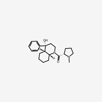 CN1CCC[C@H]1C(=O)N1CC[C@](O)(c2ccccc2)[C@H]2CCCC[C@H]21